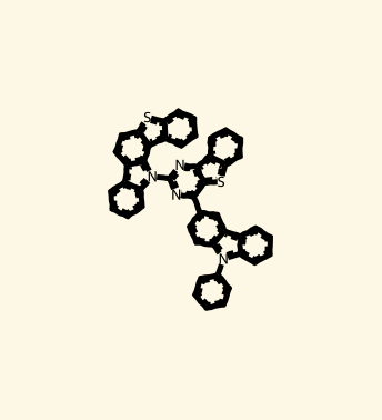 c1ccc(-n2c3ccccc3c3cc(-c4nc(-n5c6ccccc6c6ccc7sc8ccccc8c7c65)nc5c4sc4ccccc45)ccc32)cc1